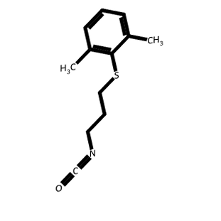 Cc1cccc(C)c1SCCCN=C=O